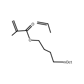 C=C(C)C(=O)OCCCCCCCCCCCC.C=CC